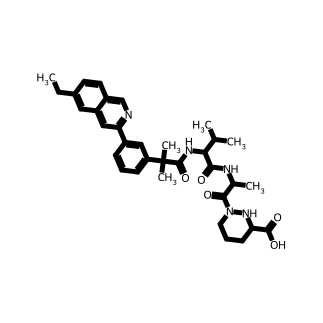 CCc1ccc2cnc(-c3cccc(C(C)(C)C(=O)NC(C(=O)NC(C)C(=O)N4CCCC(C(=O)O)N4)C(C)C)c3)cc2c1